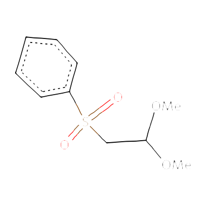 COC(CS(=O)(=O)c1ccccc1)OC